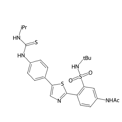 CC(=O)Nc1ccc(-c2ncc(-c3ccc(NC(=S)NC(C)C)cc3)s2)c(S(=O)(=O)NC(C)(C)C)c1